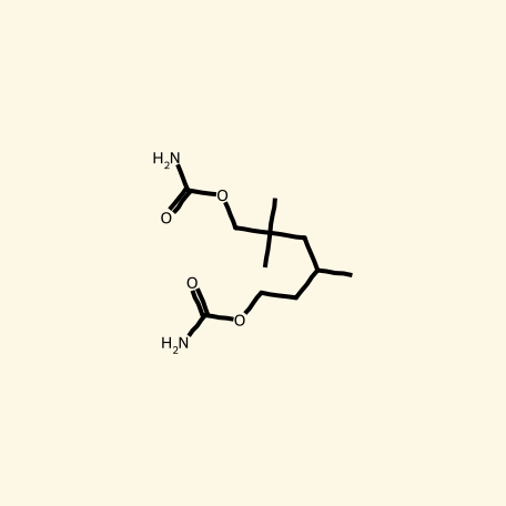 CC(CCOC(N)=O)CC(C)(C)COC(N)=O